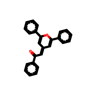 O=C(C=C1C=C(c2ccccc2)OC(c2ccccc2)=C1)c1ccccc1